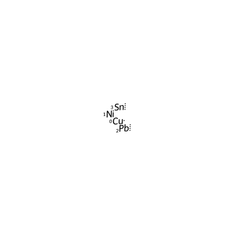 [Cu].[Ni].[Pb].[Sn]